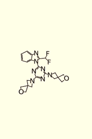 FC(F)c1nc2ccccc2n1-c1nc(N2CC3(COC3)C2)nc(N2CC3(COC3)C2)n1